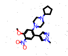 COc1cc(N2CCN(C3CCCC3)CC2)c(-c2cnn(C)c2)cc1[N+](=O)[O-]